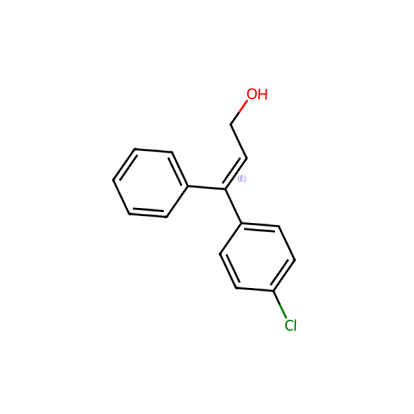 OC/C=C(\c1ccccc1)c1ccc(Cl)cc1